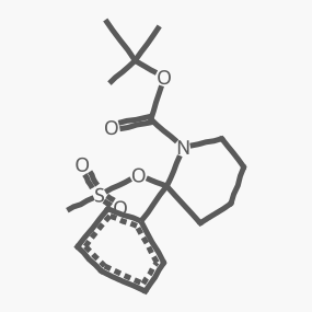 CC(C)(C)OC(=O)N1CCCCC1(OS(C)(=O)=O)c1ccccc1